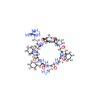 C[C@@H]1NC(=O)[C@H](CN)NC(=O)[C@@H](Cc2ccccc2)NC(=O)[C@@H](Cc2ccccc2)NC(=O)[C@H](CCCNC(=N)N)NC(=O)[C@@H]2CCCN2C(=O)[C@H]2CCCN2C(=O)[C@H](Cc2ccccc2)NC1=O